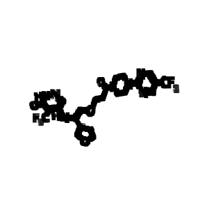 O=C(CCOCC(Nc1cn[nH]c(=O)c1C(F)(F)F)[C@H]1CCOC1)N1CCN(c2ncc(C(F)(F)F)cn2)CC1